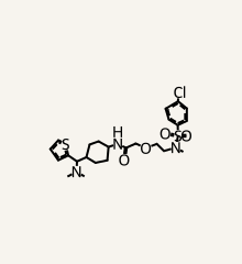 CN(C)C(c1cccs1)C1CCC(NC(=O)COCCN(C)S(=O)(=O)c2ccc(Cl)cc2)CC1